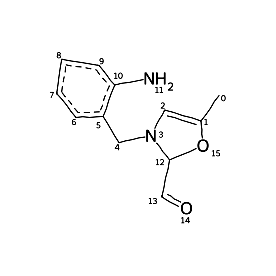 CC1=CN(Cc2ccccc2N)C(C=O)O1